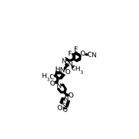 Cc1cc(NC(=O)c2ncc(-c3ccc(OCC#N)c(F)c3F)n2C)ccc1C(=O)N1CCC(C(=O)N2C=CS(=O)(=O)C=C2)CC1